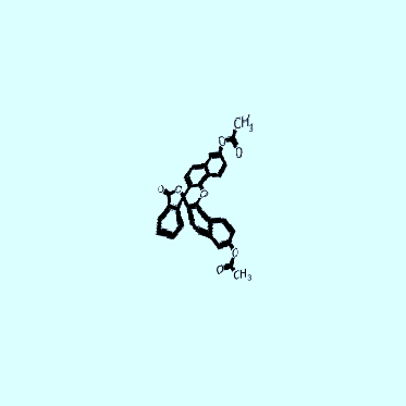 CC(=O)Oc1ccc2c3c(ccc2c1)C1(OC(=O)c2ccccc21)c1ccc2cc(OC(C)=O)ccc2c1O3